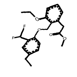 CCOc1cccc(CC(=O)OC)c1COc1ccc(CC)cc1C(F)F